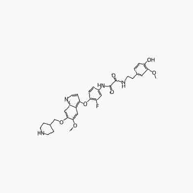 COc1cc(CCNC(=O)C(=O)Nc2ccc(Oc3ccnc4cc(OCC5CCNCC5)c(OC)cc34)c(F)c2)ccc1O